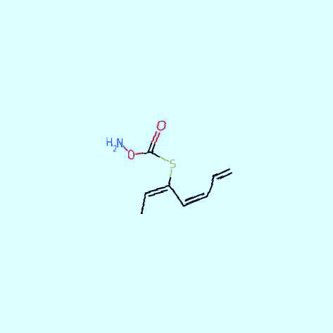 C=C/C=C\C(=C/C)SC(=O)ON